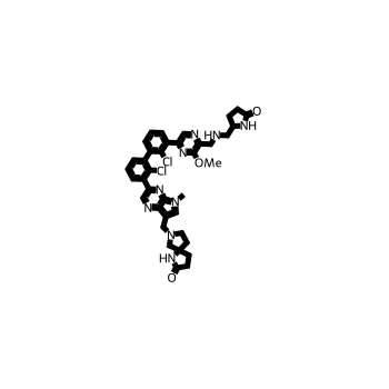 COc1nc(-c2cccc(-c3cccc(-c4cnc5c(CN6CCC7(CCC(=O)N7)C6)cn(C)c5n4)c3Cl)c2Cl)cnc1CNCC1CCC(=O)N1